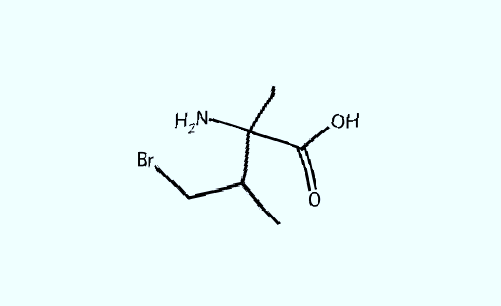 CC(CBr)C(C)(N)C(=O)O